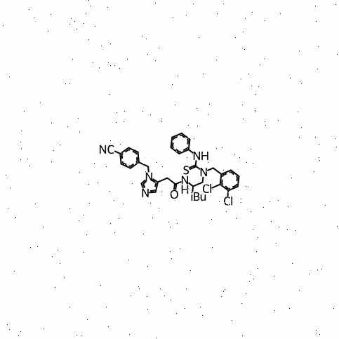 CCC(C)C(CN(Cc1cccc(Cl)c1Cl)C(=S)Nc1ccccc1)NC(=O)Cc1cncn1Cc1ccc(C#N)cc1